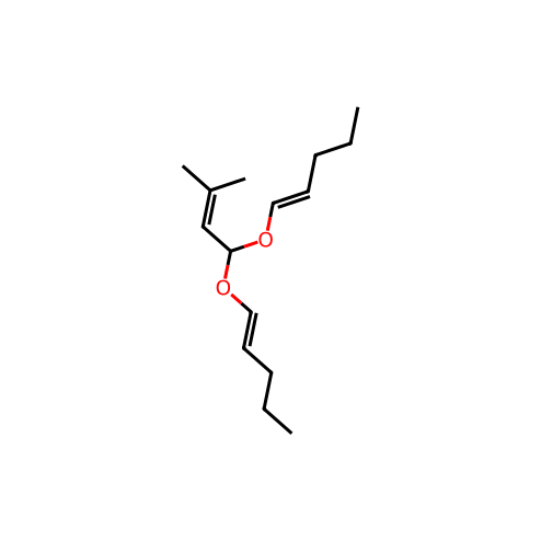 CCCC=COC(C=C(C)C)OC=CCCC